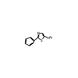 CCCc1cnc(-c2ccccc2)s1